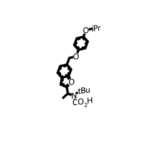 CC(C)Oc1ccc(OCc2ccc3cc(C(C)N(C(=O)O)C(C)(C)C)oc3c2)cc1